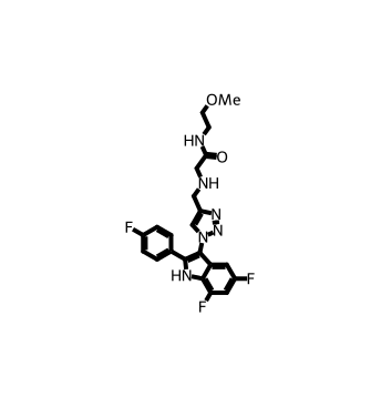 COCCNC(=O)CNCc1cn(-c2c(-c3ccc(F)cc3)[nH]c3c(F)cc(F)cc23)nn1